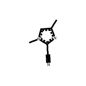 Cc1cn(C)c(C#N)n1